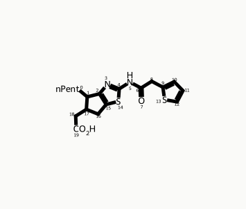 CCCCCC1c2nc(NC(=O)Cc3cccs3)sc2CC1CC(=O)O